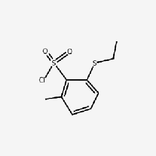 CCSc1cccc(C)c1S(=O)(=O)Cl